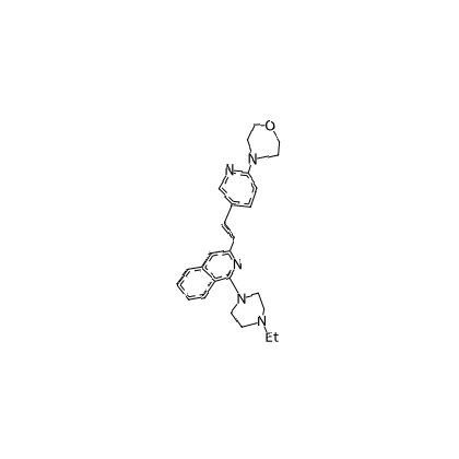 CCN1CCN(c2nc(/C=C/c3ccc(N4CCOCC4)nc3)cc3ccccc23)CC1